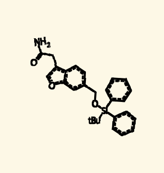 CC(C)(C)[Si](OCc1ccc2c(CC(N)=O)coc2c1)(c1ccccc1)c1ccccc1